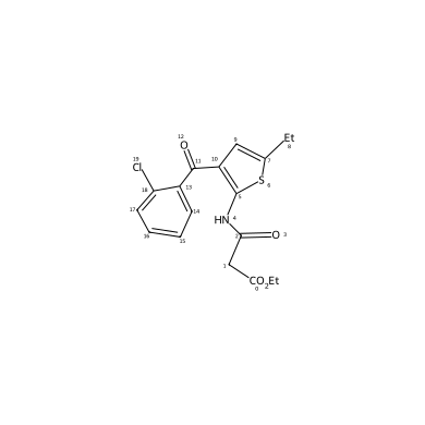 CCOC(=O)CC(=O)Nc1sc(CC)cc1C(=O)c1ccccc1Cl